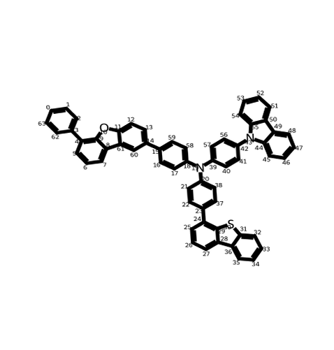 c1ccc(-c2cccc3c2oc2ccc(-c4ccc(N(c5ccc(-c6cccc7c6sc6ccccc67)cc5)c5ccc(-n6c7ccccc7c7ccccc76)cc5)cc4)cc23)cc1